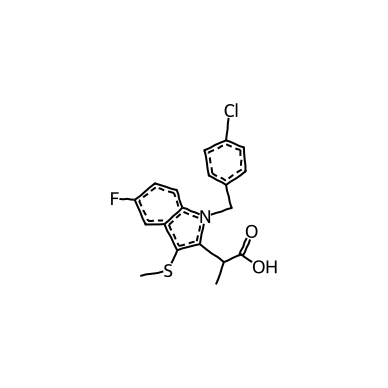 CSc1c(C(C)C(=O)O)n(Cc2ccc(Cl)cc2)c2ccc(F)cc12